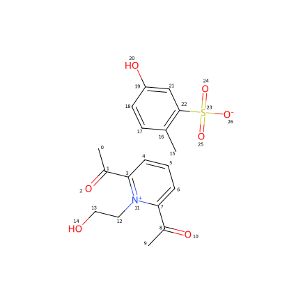 CC(=O)c1cccc(C(C)=O)[n+]1CCO.Cc1ccc(O)cc1S(=O)(=O)[O-]